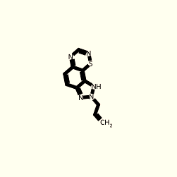 C=CCN1N=c2ccc3c(c2N1)SN=CN=3